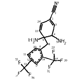 N#CC1=CC(N)C(N)(Cc2ccc(C(F)(F)F)cc2C(F)(F)F)C=C1